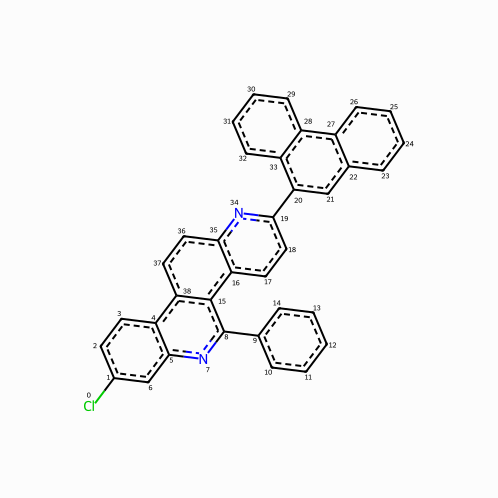 Clc1ccc2c(c1)nc(-c1ccccc1)c1c3ccc(-c4cc5ccccc5c5ccccc45)nc3ccc21